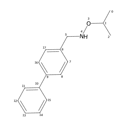 CC(C)ONCc1ccc(-c2ccccc2)cc1